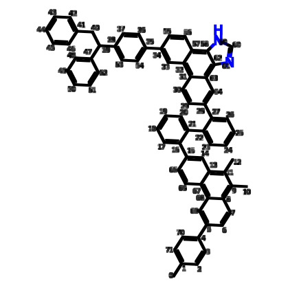 Cc1ccc(-c2ccc3c(C)c(C)c4cc(-c5ccccc5-c5ccccc5-c5ccc6c7cc(-c8ccc(C(Cc9ccccc9)c9ccccc9)cc8)ccc7c7[nH]cnc7c6c5)ccc4c3c2)cc1